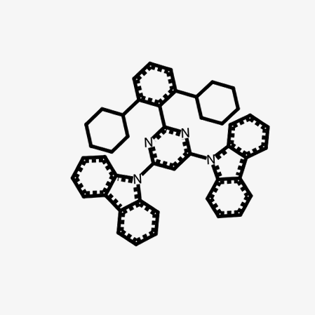 c1cc(C2CCCCC2)c(-c2nc(-n3c4ccccc4c4ccccc43)cc(-n3c4ccccc4c4ccccc43)n2)c(C2CCCCC2)c1